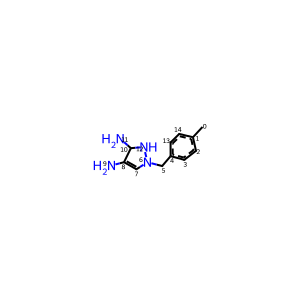 Cc1ccc(CN2C=C(N)C(N)N2)cc1